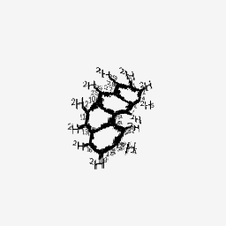 [2H]c1c([2H])c([2H])c2c([2H])c3c(c([2H])c([2H])c4c([2H])c([2H])c([2H])c([2H])c43)c([2H])c2c1[2H]